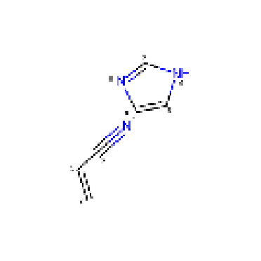 C=CC#N.c1c[nH]cn1